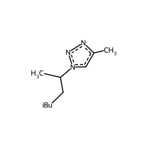 CCC(C)CC(C)n1cc(C)nn1